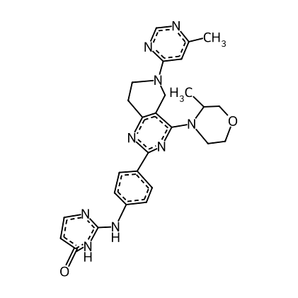 Cc1cc(N2CCc3nc(-c4ccc(Nc5nccc(=O)[nH]5)cc4)nc(N4CCOCC4C)c3C2)ncn1